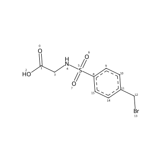 O=C(O)CNS(=O)(=O)c1ccc(CBr)cc1